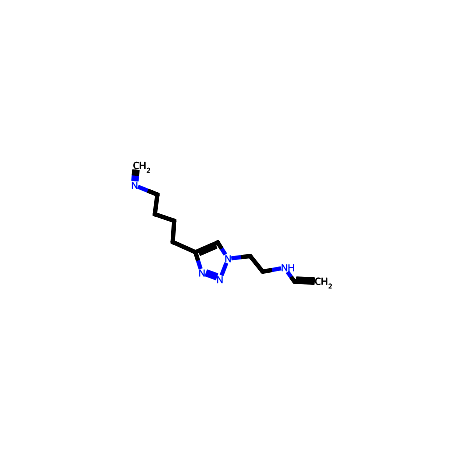 C=CNCCn1cc(CCCCN=C)nn1